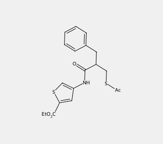 CCOC(=O)c1cc(NC(=O)C(CSC(C)=O)Cc2ccccc2)cs1